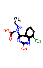 CCNN(C(=O)O)c1nc(O)nc2c(Cl)cccc12